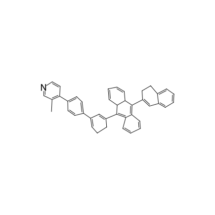 Cc1cnccc1-c1ccc(C2=CCCC(C3=c4ccccc4=C(C4=Cc5ccccc5CC4)C4C=CC=CC34)=C2)cc1